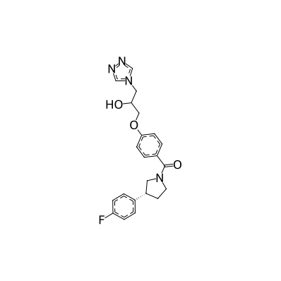 O=C(c1ccc(OCC(O)Cn2cnnc2)cc1)N1CC[C@H](c2ccc(F)cc2)C1